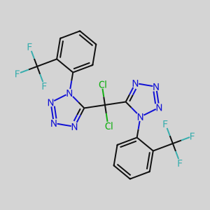 FC(F)(F)c1ccccc1-n1nnnc1C(Cl)(Cl)c1nnnn1-c1ccccc1C(F)(F)F